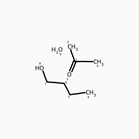 CC(C)=O.CCCCO.O